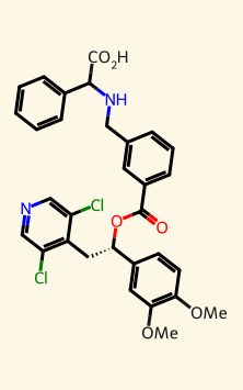 COc1ccc([C@H](Cc2c(Cl)cncc2Cl)OC(=O)c2cccc(CNC(C(=O)O)c3ccccc3)c2)cc1OC